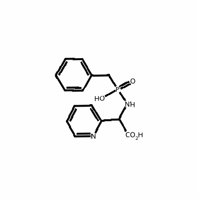 O=C(O)C(NP(=O)(O)Cc1ccccc1)c1ccccn1